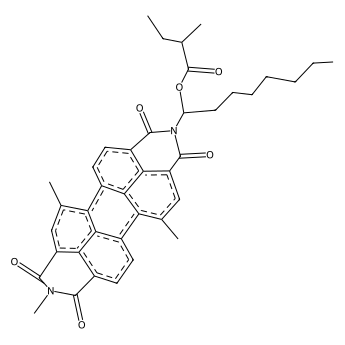 CCCCCCCC(OC(=O)C(C)CC)N1C(=O)c2ccc3c4c(C)cc5c6c(ccc(c7c(C)cc(c2c37)C1=O)c64)C(=O)N(C)C5=O